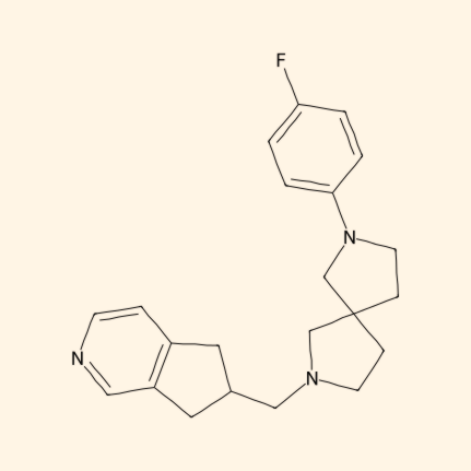 Fc1ccc(N2CCC3(CCN(CC4Cc5ccncc5C4)C3)C2)cc1